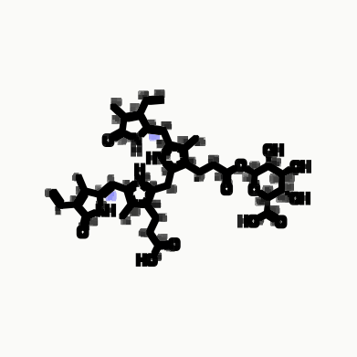 C=CC1=C(C)/C(=C/c2[nH]c(Cc3[nH]c(/C=C4\NC(=O)C(C)=C4C=C)c(C)c3CCC(=O)O[C@@H]3O[C@H](C(=O)O)[C@@H](O)[C@H](O)[C@H]3O)c(CCC(=O)O)c2C)NC1=O